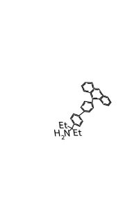 CCC(N)(CC)c1ccc(-c2ccc(-c3c4ccccc4cc4ccccc34)cc2)cc1